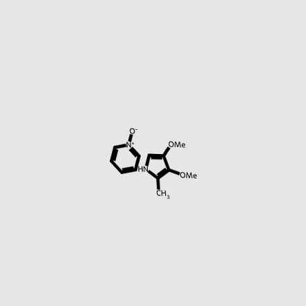 COc1c[nH]c(C)c1OC.[O-][n+]1ccccc1